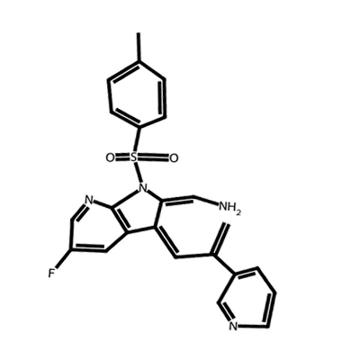 C=C(/C=c1\c(=C/N)n(S(=O)(=O)c2ccc(C)cc2)c2ncc(F)cc12)c1cccnc1